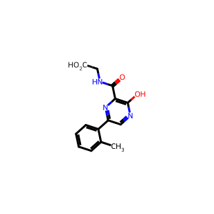 Cc1ccccc1-c1cnc(O)c(C(=O)NCC(=O)O)n1